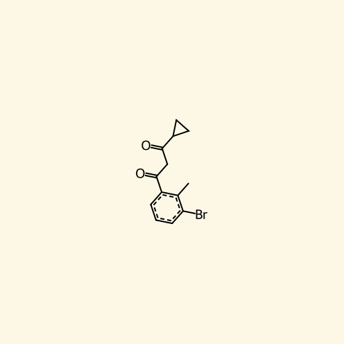 Cc1c(Br)cccc1C(=O)CC(=O)C1CC1